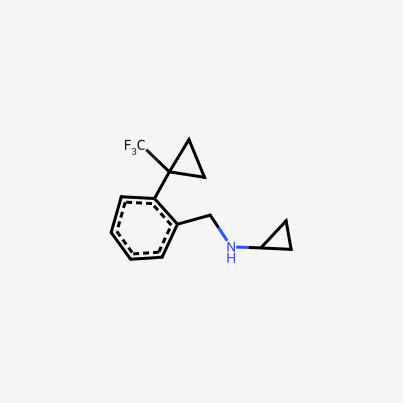 FC(F)(F)C1(c2ccccc2CNC2CC2)CC1